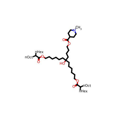 CCCCCCCCC(CCCCCC)C(=O)OCCCCCCC(O)(CCCCCCOC(=O)C(CCCCCC)CCCCCCCC)CCCCOC(=O)C1CCN(C)CC1